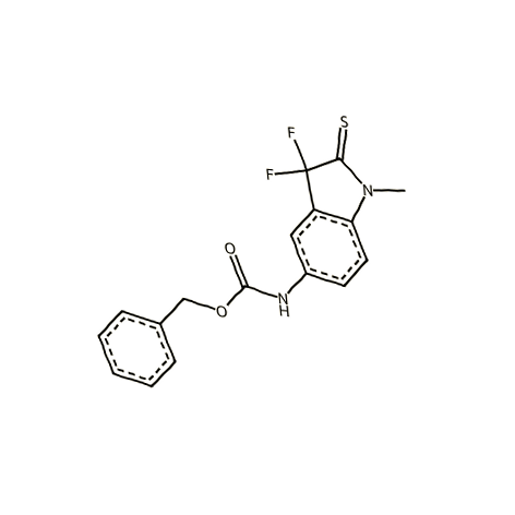 CN1C(=S)C(F)(F)c2cc(NC(=O)OCc3ccccc3)ccc21